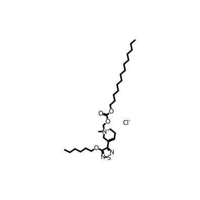 CCCCCCCCCCCCCCOC(=O)OC[N+]1(C)CCC=C(c2nsnc2OCCCCCC)C1.[Cl-]